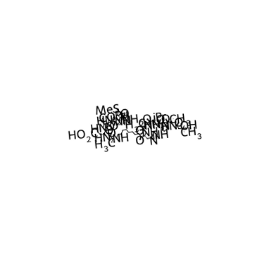 CSCC[C@H](NC(=O)[C@@H](NC(=O)[C@H](CC(=O)O)NC(=O)[C@H](CCC(=O)O)NC(=O)[C@H](C)NCCCCCCCCC(=O)[C@H](Cc1c[nH]cn1)NC(=O)[C@H](C)NC(=O)[C@@H](NC(=O)[C@@H]1CCCN1C(=O)[C@H](C)NC(=O)C[C@@H](C)O)C(C)C)C(C)C)C(N)=O